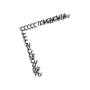 [Ag].[Al].[Au].[C].[C].[C].[C].[C].[C].[C].[C].[C].[Co].[Cr].[Cr].[Cu].[Fe].[Ge].[Mn].[Mo].[Ni].[Ni].[Pb].[Ta].[Ti].[V].[W].[Zr]